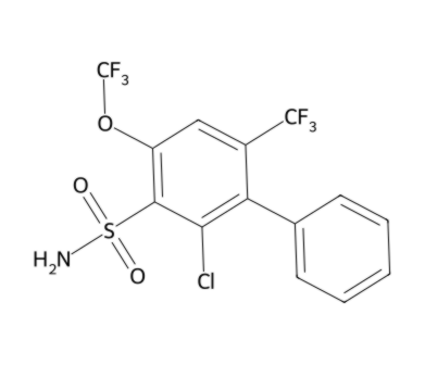 NS(=O)(=O)c1c(OC(F)(F)F)cc(C(F)(F)F)c(-c2ccccc2)c1Cl